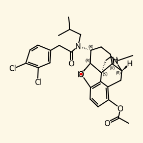 CC(=O)Oc1ccc2c3c1C[C@@H]1[C@@H]4CC[C@@H](N(CC(C)C)C(=O)Cc5ccc(Cl)c(Cl)c5)[C@H](O2)[C@]34CCN1C